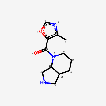 Cc1ncoc1C(=O)N1CCCC2CNCC21